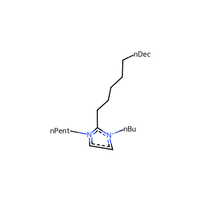 CCCCCCCCCCCCCCCc1n(CCCCC)cc[n+]1CCCC